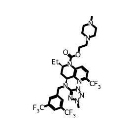 CC[C@@H]1C[C@H](N(Cc2cc(C(F)(F)F)cc(C(F)(F)F)c2)c2nnn(C)n2)c2nc(C(F)(F)F)ccc2N1C(=O)OCCN1CCN(C)CC1